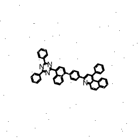 c1ccc(-c2nc(-c3ccccc3)nc(-c3ccc(-c4ccc(-c5cc(-c6ccccc6)c6c(ccc7ccccc76)n5)cc4)c4ccccc34)n2)cc1